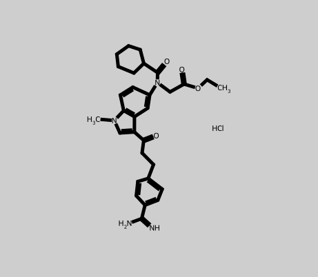 CCOC(=O)CN(C(=O)C1CCCCC1)c1ccc2c(c1)c(C(=O)CCc1ccc(C(=N)N)cc1)cn2C.Cl